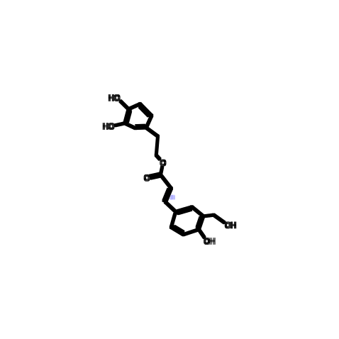 O=C(/C=C/c1ccc(O)c(CO)c1)OCCc1ccc(O)c(O)c1